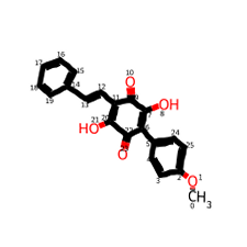 COc1ccc(C2=C(O)C(=O)C(C=Cc3ccccc3)=C(O)C2=O)cc1